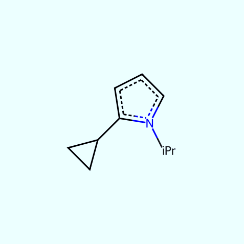 CC(C)n1cccc1C1CC1